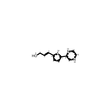 OC/C=C/c1ccc(-c2cnccn2)s1